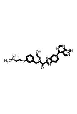 CN(C)CCOc1cccc(CN(CCO)C(=O)c2nc3ccc(-c4ncnc5[nH]ncc45)cc3s2)c1